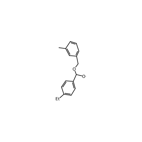 CCc1ccc(C([O])OCc2cccc(C)c2)cc1